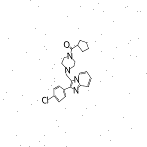 O=C(C1CCCC1)N1CCN(Cc2c(-c3ccc(Cl)cc3)nc3ccccn23)CC1